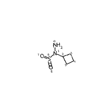 NN(C1CCC1)[SH](=O)=O